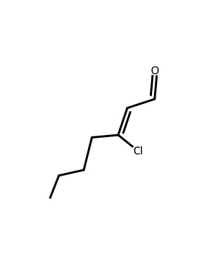 CCCCC(Cl)=CC=O